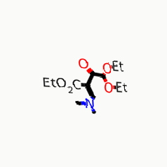 CCOC(=O)/C(=C\N(C)C)C(=O)C(OCC)OCC